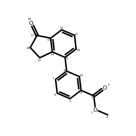 COC(=O)c1cccc(-c2cccc3c2CCC3=O)c1